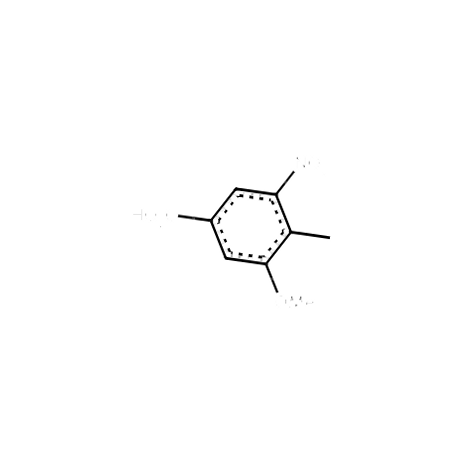 COc1cc(C(=O)O)cc([N+](=O)[O-])c1C